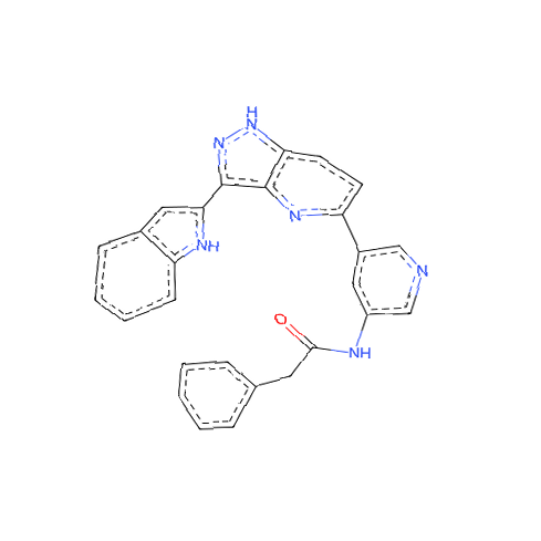 O=C(Cc1ccccc1)Nc1cncc(-c2ccc3[nH]nc(-c4cc5ccccc5[nH]4)c3n2)c1